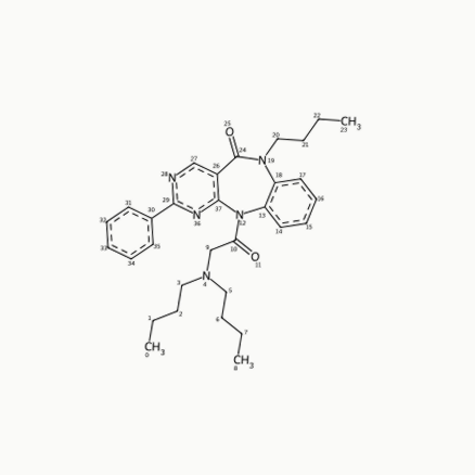 CCCCN(CCCC)CC(=O)N1c2ccccc2N(CCCC)C(=O)c2cnc(-c3ccccc3)nc21